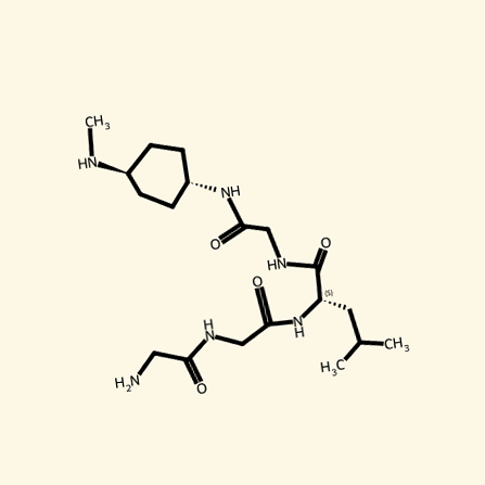 CN[C@H]1CC[C@H](NC(=O)CNC(=O)[C@H](CC(C)C)NC(=O)CNC(=O)CN)CC1